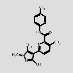 Cc1ccc(-c2c(C)nn(C)c2C)nc1C(=O)Nc1ccc(C(F)(F)F)cc1